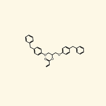 C=CC(=O)OC(COc1ccc(Cc2ccccc2)cc1)COc1ccc(Cc2ccccc2)cc1